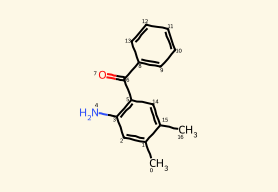 Cc1cc(N)c(C(=O)c2ccccc2)cc1C